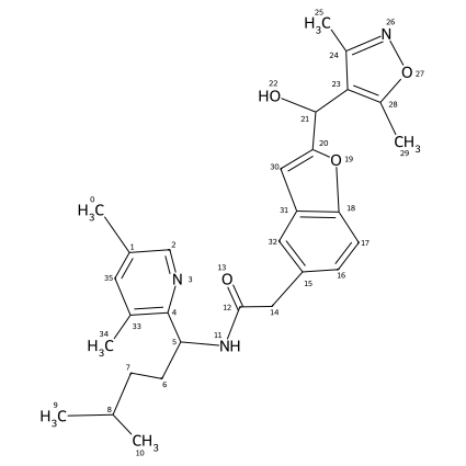 Cc1cnc(C(CCC(C)C)NC(=O)Cc2ccc3oc(C(O)c4c(C)noc4C)cc3c2)c(C)c1